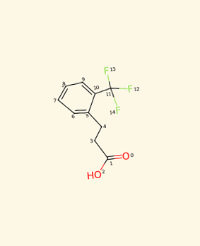 O=C(O)CCc1cc[c]cc1C(F)(F)F